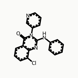 O=c1c2cccc(Cl)c2nc(Nc2ccccc2)n1-c1cccnc1